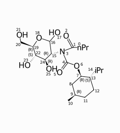 CCCC(=O)N(C(=O)O[C@@H]1C[C@H](C)CC[C@H]1C(C)C)[C@H]1C(O)O[C@H](CO)[C@@H](O)[C@@H]1O